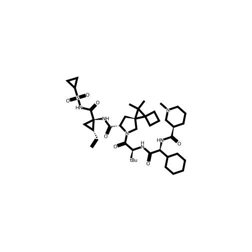 C=C[C@@H]1C[C@]1(NC(=O)[C@@H]1C[C@@]2(CN1C(=O)[C@@H](NC(=O)[C@@H](NC(=O)[C@@H]1CCCN(C)C1)C1CCCCC1)C(C)(C)C)C(C)(C)C21CCC1)C(=O)NS(=O)(=O)C1CC1